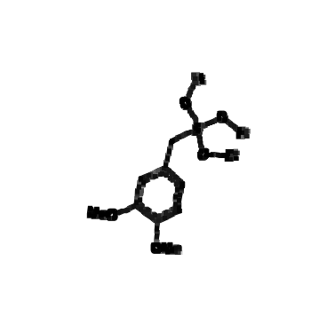 CCO[Si](Cc1ccc(OC)c(OC)c1)(OCC)OCC